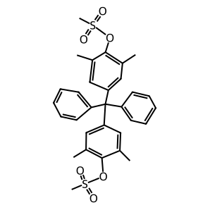 Cc1cc(C(c2ccccc2)(c2ccccc2)c2cc(C)c(OS(C)(=O)=O)c(C)c2)cc(C)c1OS(C)(=O)=O